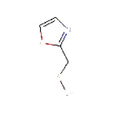 CSCc1ncco1